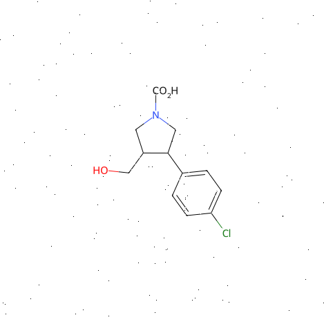 O=C(O)N1CC(CO)C(c2ccc(Cl)cc2)C1